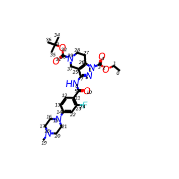 CCOC(=O)n1nc(NC(=O)c2ccc(N3CCN(C)CC3)cc2F)c2c1CCN(C(=O)OC(C)(C)C)C2